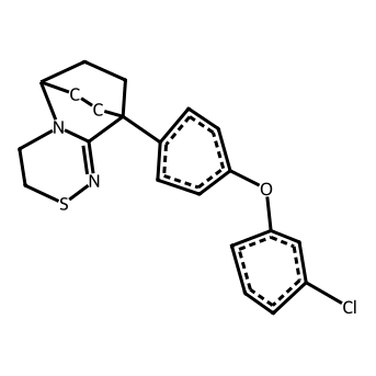 Clc1cccc(Oc2ccc(C34CCC(CC3)N3CCSN=C34)cc2)c1